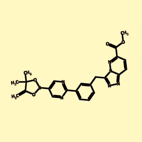 C=C1OB(c2cnc(-c3cccc(Cc4nnc5ccc(C(=O)OC)nn45)c3)nc2)OC1(C)C